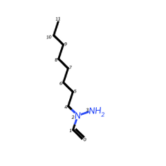 C=CN(N)CCCCCCCC